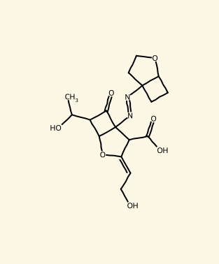 CC(O)C1C(=O)C2(N=NC34CCOC3CC4)C(C(=O)O)C(=CCO)OC12